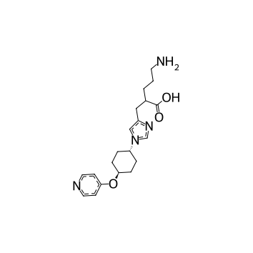 NCCCC(Cc1cn([C@H]2CC[C@H](Oc3ccncc3)CC2)cn1)C(=O)O